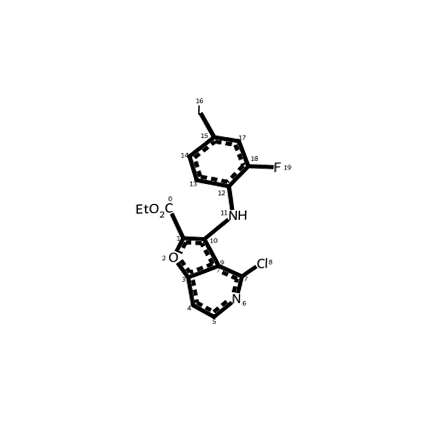 CCOC(=O)c1oc2ccnc(Cl)c2c1Nc1ccc(I)cc1F